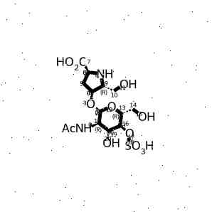 CC(=O)N[C@H]1[C@H](O[C@H]2C[C@@H](C(=O)O)N[C@@H]2CO)O[C@H](CO)[C@@H](OS(=O)(=O)O)[C@@H]1O